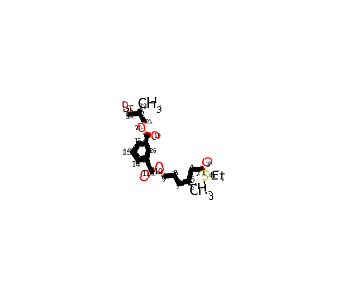 CCSC(=O)CC(C)CCCOC(=O)c1cccc(C(=O)OCC(C)CBr)c1